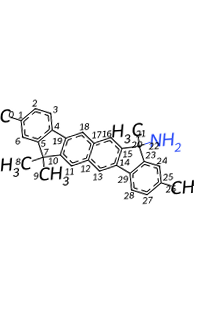 Cc1ccc2c(c1)C(C)(C)c1cc3cc4c(cc3cc1-2)C(C)(N)c1cc(C)ccc1-4